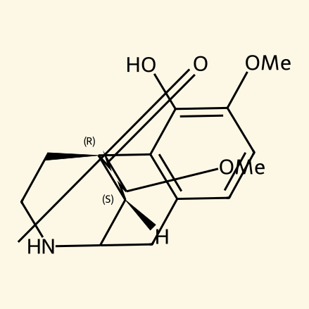 COc1ccc2c(c1O)[C@@]13CCNC(C2)[C@H]1CC(OC)C(=O)C3